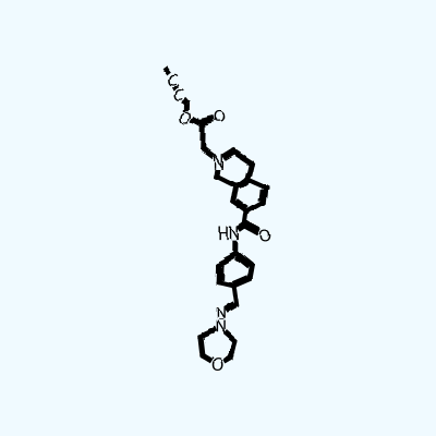 CCCCOC(=O)CN1CCc2ccc(C(=O)Nc3ccc(C=NN4CCOCC4)cc3)cc2C1